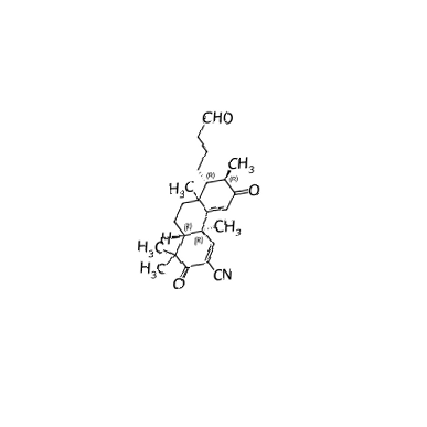 C[C@H]1C(=O)C=C2C(C)(CC[C@H]3C(C)(C)C(=O)C(C#N)=C[C@]23C)[C@@H]1CCCC=O